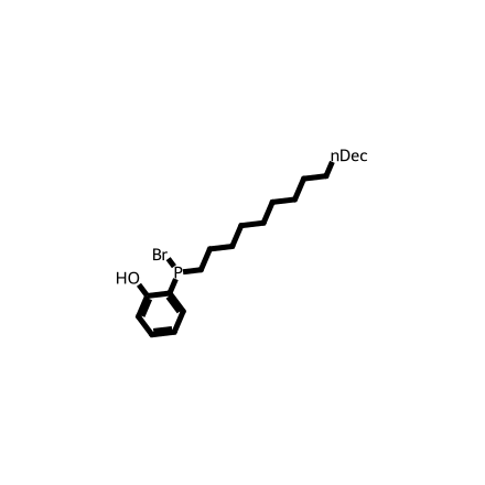 CCCCCCCCCCCCCCCCCCCP(Br)c1ccccc1O